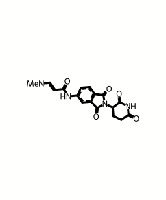 CNC=CC(=O)Nc1ccc2c(c1)C(=O)N(C1CCC(=O)NC1=O)C2=O